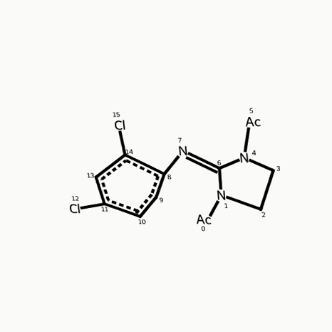 CC(=O)N1CCN(C(C)=O)C1=Nc1ccc(Cl)cc1Cl